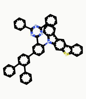 c1ccc(-c2nc(-c3ccccc3)nc(-c3cc(-c4ccc(-c5ccccc5)c(-c5ccccc5)c4)ccc3-n3c4ccccc4c4cc5c(cc43)sc3ccccc35)n2)cc1